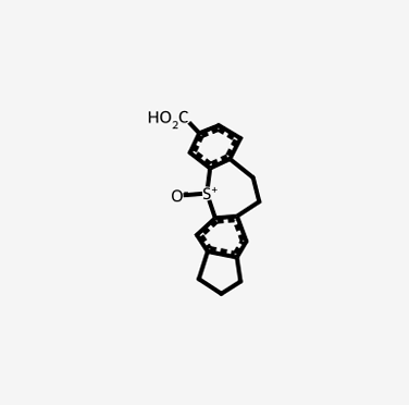 O=C(O)c1ccc2c(c1)[S+]([O-])c1cc3c(cc1CC2)CCC3